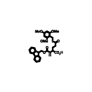 COc1cc(OC)c(CSC(=O)CCC(NC(=O)OCC2c3ccccc3-c3ccccc32)C(=O)O)c(OC)c1